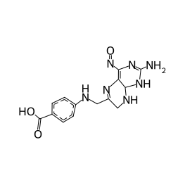 NC1=NC(N=O)=C2N=C(CNc3ccc(C(=O)O)cc3)CNC2N1